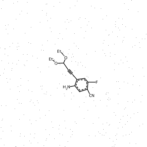 CCOC(C#Cc1cc(F)c(C#N)cc1N)OCC